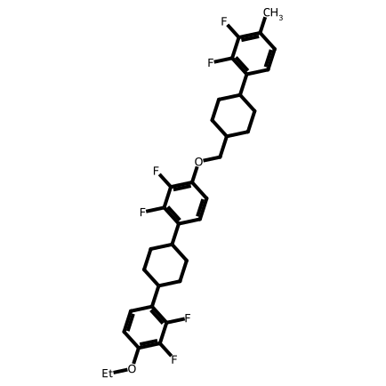 CCOc1ccc(C2CCC(c3ccc(OCC4CCC(c5ccc(C)c(F)c5F)CC4)c(F)c3F)CC2)c(F)c1F